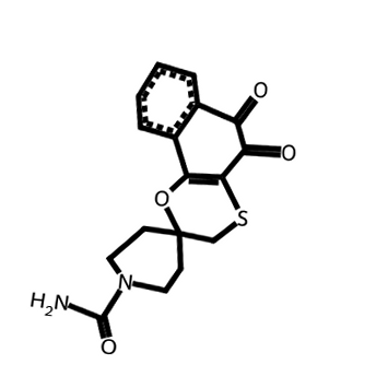 NC(=O)N1CCC2(CC1)CSC1=C(O2)c2ccccc2C(=O)C1=O